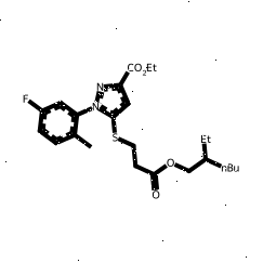 CCCCC(CC)COC(=O)CCSc1cc(C(=O)OCC)nn1-c1cc(F)ccc1C